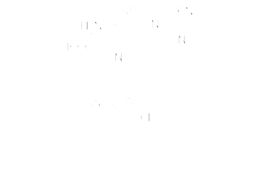 N#Cc1nccc(C(C(N)=O)N2CC(S(=O)(=O)c3ccccc3C(F)(F)F)CC2C(=O)O)n1